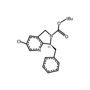 CC(C)(C)OC(=O)N1Cc2cc(Cl)cnc2[C@@H]1Cc1ccccc1